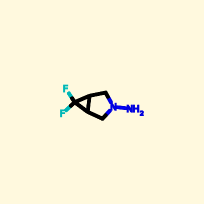 NN1CC2C(C1)C2(F)F